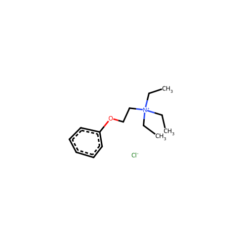 CC[N+](CC)(CC)CCOc1ccccc1.[Cl-]